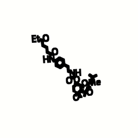 CCC(=O)CCCC(=O)Nc1ccc(CCNC(=O)O[C@@H]2CC[C@]3(CO3)[C@@H](C3(C)O[C@@H]3CC=C(C)C)[C@@H]2OC)cc1